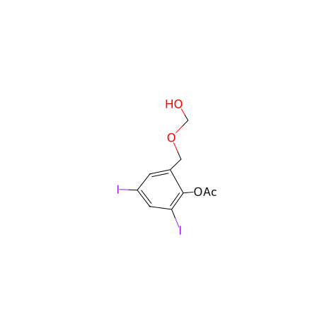 CC(=O)Oc1c(I)cc(I)cc1COCO